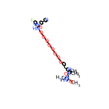 COC[C@H]1CN[C@H](C)CN1CC(=O)N1CC(C)(C)c2ncc(Cc3cccc(OCCOCCOCCOCCOCCOCCOCCOCCN[C@H](Cc4cccc(F)c4)C(=O)Nc4ccc(-c5ccncc5)cc4)c3)cc21